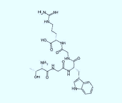 C[C@@H](O)[C@H](N)C(=O)NCC(=O)N[C@@H](Cc1c[nH]c2ccccc12)C(=O)NCC(=O)N[C@@H](CCCNC(=N)N)C(=O)O